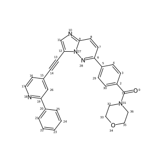 O=C(c1ccc(-c2ccc3ncc(C#Cc4ccnc(-c5ccccc5)c4)n3n2)cc1)N1CCOCC1